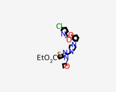 CCOC(=O)c1cc2c(nc(CN3CCN(c4cccc5c4O[C@](C)(c4ccc(Cl)cn4)O5)CC3)n2C[C@@H]2CCO2)s1